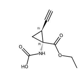 C#C[C@@H]1C[C@]1(NC(=O)O)C(=O)OCC